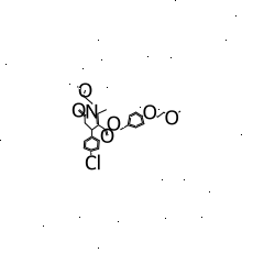 COCCOc1ccc(COC(=O)C2=C(C)N(CCOC)C(=O)CC2c2ccc(Cl)cc2)cc1